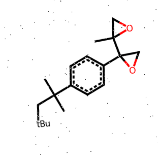 CC(C)(C)CC(C)(C)c1ccc(C2(C3(C)CO3)CO2)cc1